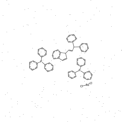 C1=CC(C=CC(c2ccccc2)c2ccccc2)c2ccccc21.[Cl][Ru][Cl].c1ccc(P(c2ccccc2)c2ccccc2)cc1.c1ccc(P(c2ccccc2)c2ccccc2)cc1